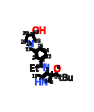 CC/C(=N\c1c(C(=O)C(C)(C)C)c[nH]c1C)c1cccc(CN2CCC(O)C2)c1